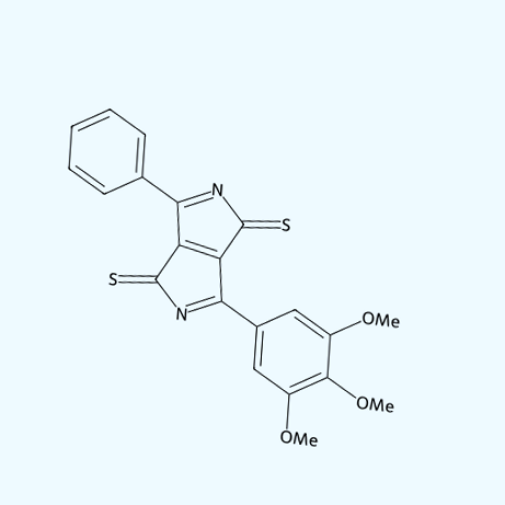 COc1cc(-c2nc(=S)c3c(-c4ccccc4)nc(=S)c2=3)cc(OC)c1OC